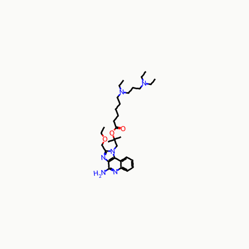 CCOCc1nc2c(N)nc3ccccc3c2n1CC(C)(C)OC(=O)CCCCCN(CC)CCCN(CC)CC